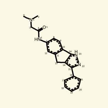 CN(C)CC(=O)Nc1ccc2c(c1)Cc1c(-c3ccccc3)n[nH]c1-2